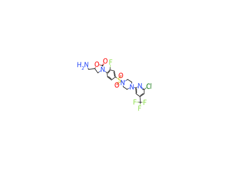 NCC1CN(c2ccc(S(=O)(=O)N3CCN(c4cc(C(F)(F)F)cc(Cl)n4)CC3)cc2F)C(=O)O1